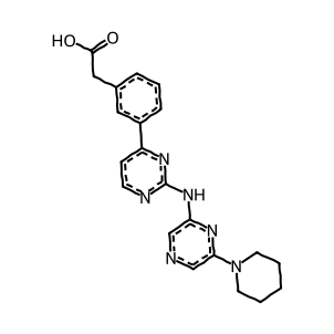 O=C(O)Cc1cccc(-c2ccnc(Nc3cncc(N4CCCCC4)n3)n2)c1